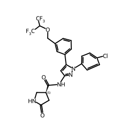 O=C1C[C@H](C(=O)Nc2cc(-c3cccc(COC(C(F)(F)F)C(F)(F)F)c3)n(-c3ccc(Cl)cc3)n2)CN1